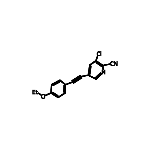 CCOc1ccc(C#Cc2cnc(C#N)c(Cl)c2)cc1